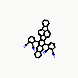 N#Cc1cccc(-c2c3c(c(-c4cccc(C#N)c4C#N)c4cc5ccccc5cc24)-c2ccc4c5c(ccc-3c25)-c2ccccc2-4)c1C#N